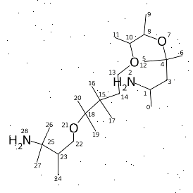 CC(N)CC(C)(C)OC(C)C(C)OCCC(C)(C)C(C)(C)OCC(C)C(C)(C)N